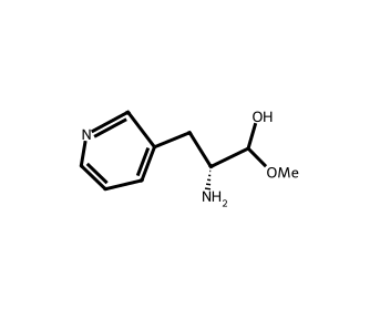 COC(O)[C@H](N)Cc1cccnc1